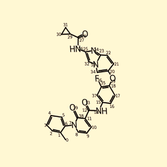 Cc1ccccc1-n1cccc(C(=O)Nc2ccc(Oc3ccc4nc(NC(=O)C5CC5)cn4c3)c(F)c2)c1=O